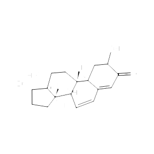 CC[C@H]1CC[C@H]2[C@@H]3C=CC4=CC(=O)C(O)C[C@]4(C)[C@H]3CC[C@]12C